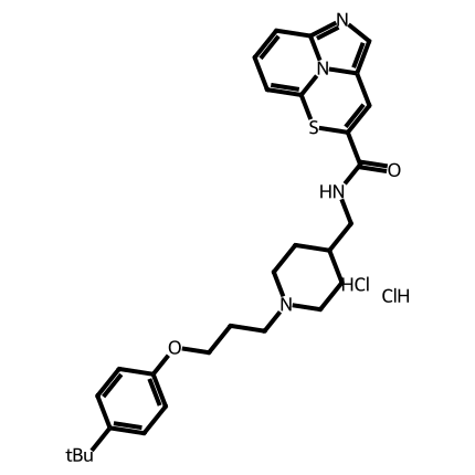 CC(C)(C)c1ccc(OCCCN2CCC(CNC(=O)C3=Cc4cnc5cccc(n45)S3)CC2)cc1.Cl.Cl